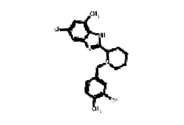 Cc1ccc(CN2CCCCC2c2nc3cc(Cl)cc(C)c3[nH]2)cc1C